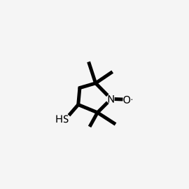 CC1(C)CC(S)C(C)(C)N1[O]